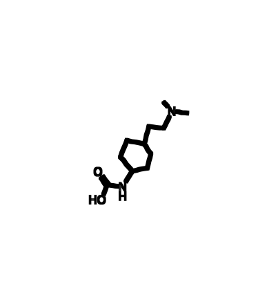 CN(C)CCC1CCC(NC(=O)O)CC1